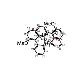 COc1cccc(C)c1-c1ccccc1P(c1ccccc1-c1c(C)cccc1OC)c1ccccc1S(=O)(=O)O